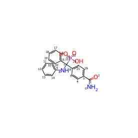 NC(=O)c1ccc(C(Nc2ccccc2)(c2ccccc2)P(=O)(O)O)cc1